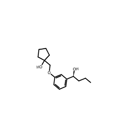 CCC[C@H](O)c1cccc(OCC2(O)CCCC2)c1